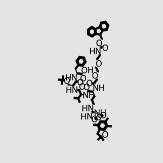 Cc1c(C)c(S(=O)(=O)NC(=N)NCCC[C@H](NC(=O)COCCOCCNC(=O)OCC2c3ccccc3-c3ccccc32)C(=O)N[C@H](C(=O)N[C@@H](COC(C)(C)C)C(=O)N[C@@H](Cc2ccccc2)C(=O)O)C(C)C)c(C)c2c1OC(C)(C)C2